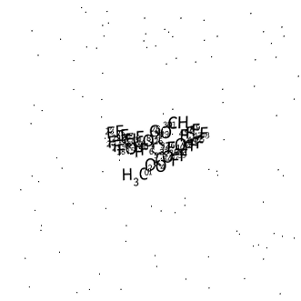 CCOC(=O)c1cc(OC(F)(F)C(F)(Cl)OC(F)(F)C(F)(F)C(F)(F)F)c(C(=O)OCC)cc1OC(F)(F)C(F)OC(F)(F)C(F)(F)C(F)(F)F